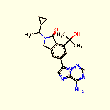 CC(C1CC1)N1Cc2cc(-c3cnc4c(N)ncnn34)cc(C(C)(C)O)c2C1=O